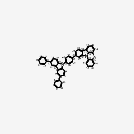 c1ccc(-c2ccc3c(c2)c2cc(-c4ccccc4)ccc2n3-c2ccc(-c3ccc4c5cccc6c5n(c4c3)-c3ccccc3S6)cc2)cc1